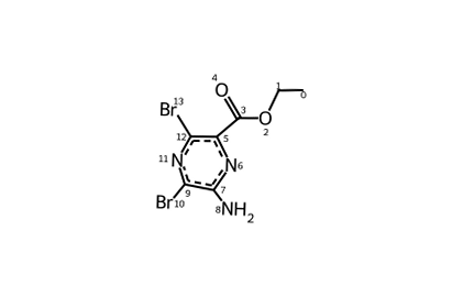 CCOC(=O)c1nc(N)c(Br)nc1Br